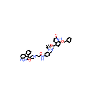 CC(C)(C)[Si](C)(C)O[C@@H](CNCc1ccc(NC(=O)CCN2CC[C@@H](C(C(N)=O)(c3ccccc3)c3ccccc3)C2)cc1)c1ccc(OCc2ccccc2)c2[nH]c(=O)ccc12